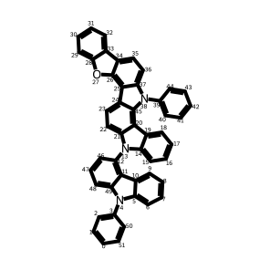 c1ccc(-n2c3ccccc3c3c(-n4c5ccccc5c5c4ccc4c6c7oc8ccccc8c7ccc6n(-c6ccccc6)c45)cccc32)cc1